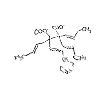 CC=CC(C=CC)(C(=O)[O-])C(C=CC)(C=CC)C(=O)[O-].[Ca+2]